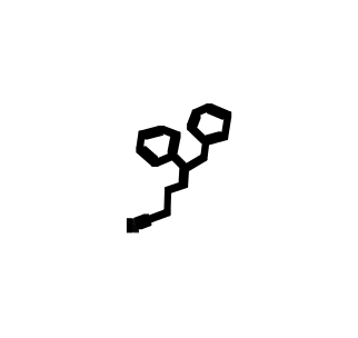 N#CCCC=C(Cc1ccccc1)c1ccccc1